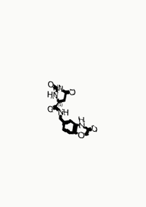 O=C1C[C@@H](C(=O)NCc2ccc3c(c2)NC(=O)CO3)NC(=O)N1